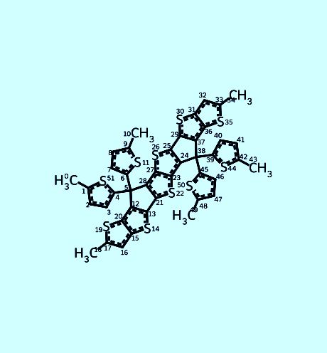 Cc1ccc(C2(c3ccc(C)s3)c3c(sc4cc(C)sc34)-c3sc4c5c(sc4c32)-c2sc3cc(C)sc3c2C5(c2ccc(C)s2)c2ccc(C)s2)s1